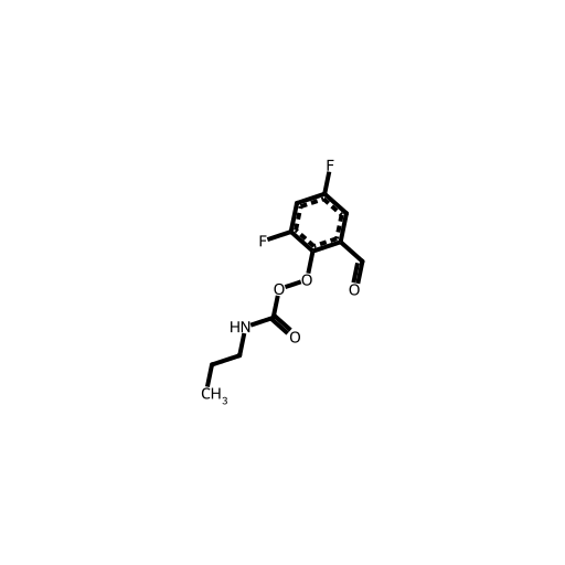 CCCNC(=O)OOc1c(F)cc(F)cc1C=O